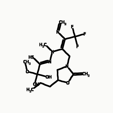 C=N/C(=C(/CN1CC(CCC)OC1=C)N(C)/N=C(\S)C(O)(O)OC)C(F)(F)F